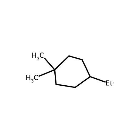 C[CH]C1CCC(C)(C)CC1